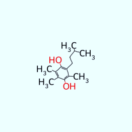 Cc1c(C)c(O)c(CCC(C)C)c(C)c1O